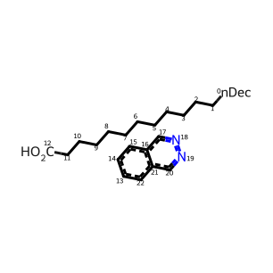 CCCCCCCCCCCCCCCCCCCCCC(=O)O.c1ccc2cnncc2c1